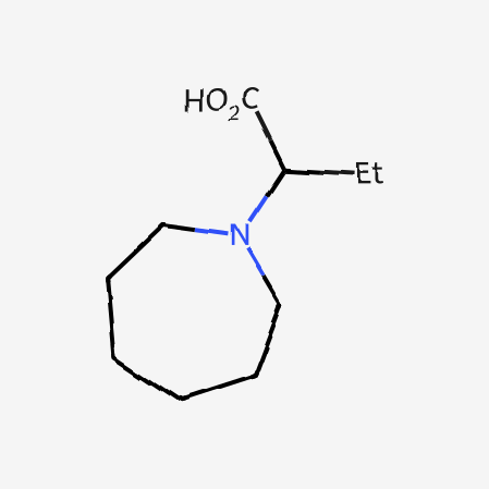 CCC(C(=O)O)N1CCCCCC1